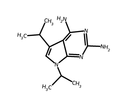 CC(C)c1cn(C(C)C)c2nc(N)nc(N)c12